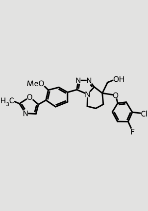 COc1cc(-c2nnc3n2CCCC3(CO)Oc2ccc(F)c(Cl)c2)ccc1-c1cnc(C)o1